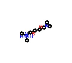 C1=Cc2c(n(C3=CC4Oc5cc(-c6ccc7c(c6)oc6cc(C8N=C(c9ccccc9)NC(c9ccccc9)N8)ccc67)ccc5C4C=C3)c3ccccc23)CC1